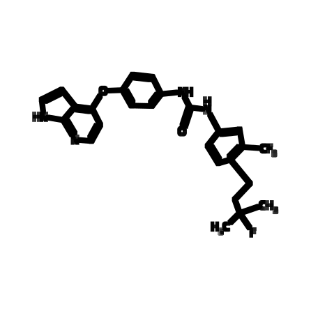 CC(C)(F)CCc1ccc(NC(=O)Nc2ccc(Oc3ccnc4[nH]ccc34)cc2)cc1C(F)(F)F